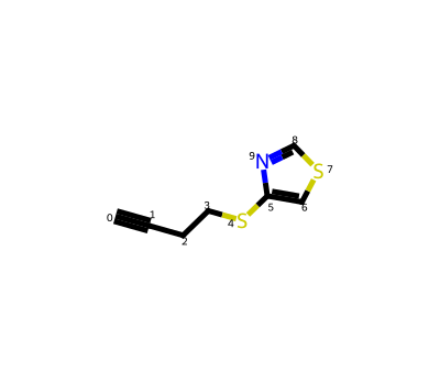 C#CCCSc1cscn1